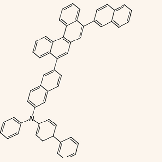 C1=CC(c2ccccc2)CC=C1N(c1ccccc1)c1ccc2cc(-c3cc4cc(-c5ccc6ccccc6c5)c5ccccc5c4c4ccccc34)ccc2c1